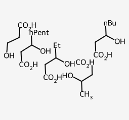 CC(O)CC(=O)O.CCC(O)CC(=O)O.CCCCC(O)CC(=O)O.CCCCCC(O)CC(=O)O.O=C(O)CCO